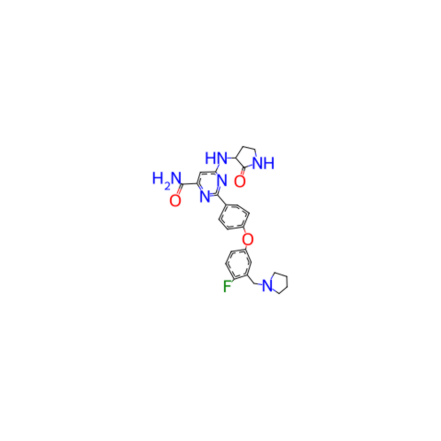 NC(=O)c1cc(NC2CCNC2=O)nc(-c2ccc(Oc3ccc(F)c(CN4CCCC4)c3)cc2)n1